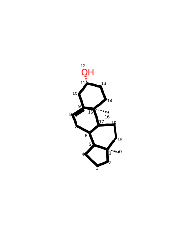 C[C@]12CCCC1C1CC=C3C[C@H](O)CC[C@@]3(C)C1CC2